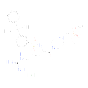 CCOP(=O)(CN1CCN(C(=O)C(CCCNC(=N)N)NS(=O)(=O)c2cccc(C(C)(C)c3ccccc3)c2)CC1)OCC.Cl